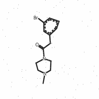 CN1CCN(C(=O)[CH]c2cccc(Br)c2)CC1